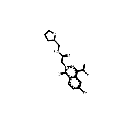 CC(C)c1nn(CC(=O)NCC2CCCO2)c(=O)c2ccc(Br)cc12